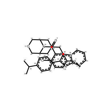 COc1ccc(Cl)c(C(=O)N2C3COCC2CN(Cc2c(-c4ccc(C(C)C)cc4)nc4ncccn24)C3)n1